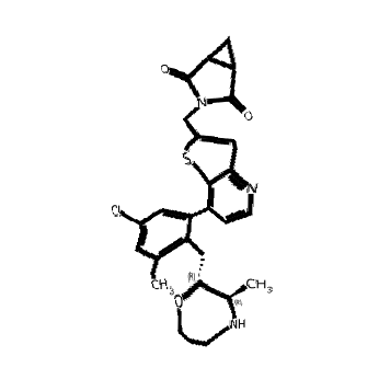 Cc1cc(Cl)cc(-c2ccnc3cc(CN4C(=O)C5CC5C4=O)sc23)c1C[C@H]1OCCN[C@@H]1C